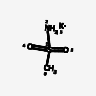 CS(N)(=O)=O.[K]